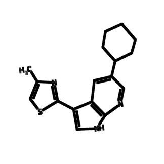 Cc1csc(-c2c[nH]c3ncc(C4CCCCC4)cc23)n1